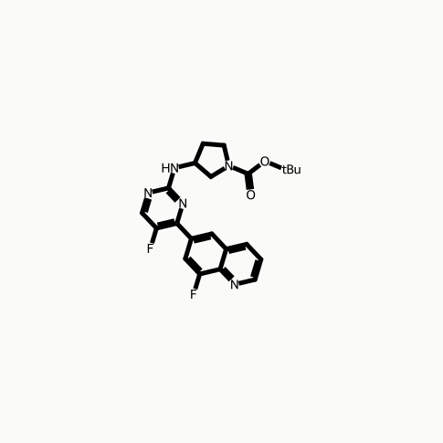 CC(C)(C)OC(=O)N1CCC(Nc2ncc(F)c(-c3cc(F)c4ncccc4c3)n2)C1